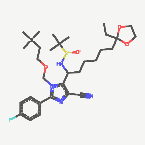 CCC1(CCCCC[C@H](N[S@+]([O-])C(C)(C)C)c2c(C#N)nc(-c3ccc(F)cc3)n2COCC[Si](C)(C)C)OCCO1